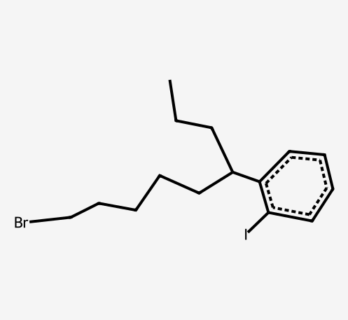 CCCC(CCCCCBr)c1ccccc1I